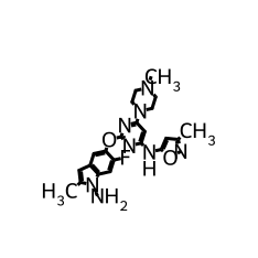 Cc1cc(Nc2cc(N3CCN(C)CC3)nc(Oc3cc4cc(C)n(N)c4cc3F)n2)on1